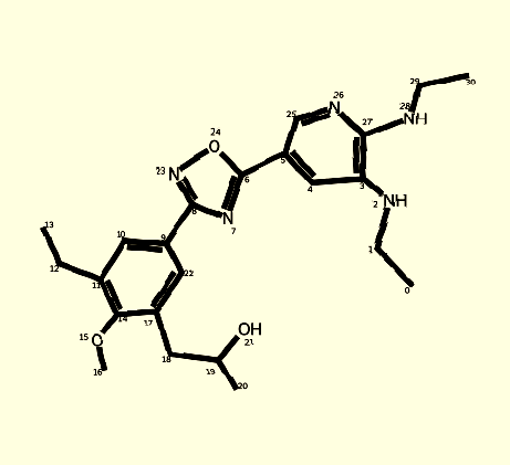 CCNc1cc(-c2nc(-c3cc(CC)c(OC)c(CC(C)O)c3)no2)cnc1NCC